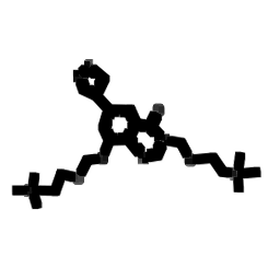 C[Si](C)(C)CCOCOc1cc(-c2cnsc2)cc2c(=O)n(COCC[Si](C)(C)C)cnc12